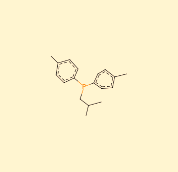 Cc1ccc(P(CC(C)C)c2ccc(C)cc2)cc1